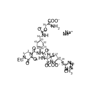 CCN1CCN(C(=O)N[C@@H](C(=O)N[C@@H]2C(=O)N3C(C(=O)[O-])=C(CSc4nnnn4C)CS[C@@H]23)c2ccc(CNC(=O)OCC(N)C(=O)[O-])cc2)C(=O)C1=O.[Na+].[Na+]